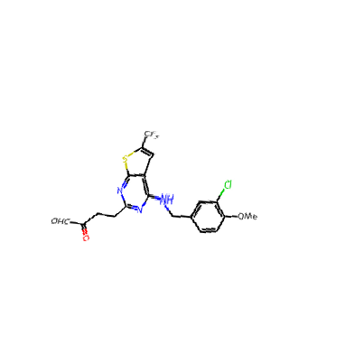 COc1ccc(CNc2nc(CCC(=O)C=O)nc3sc(C(F)(F)F)cc23)cc1Cl